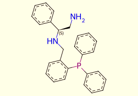 NC[C@@H](NCc1ccccc1P(c1ccccc1)c1ccccc1)c1ccccc1